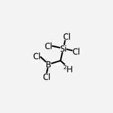 [2H]C(B(Cl)Cl)[Si](Cl)(Cl)Cl